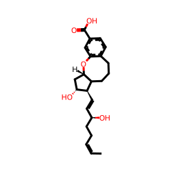 C/C=C\CC[C@H](O)/C=C/[C@@H]1C2CCCc3ccc(C(=O)O)cc3O[C@H]2C[C@H]1O